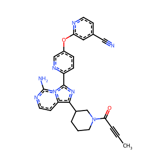 CC#CC(=O)N1CCCC(c2nc(-c3ccc(Oc4cc(C#N)ccn4)cn3)n3c(N)nccc23)C1